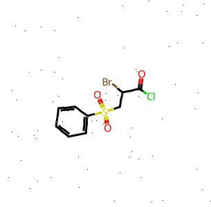 O=C(Cl)C(Br)CS(=O)(=O)c1ccccc1